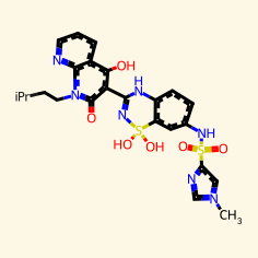 CC(C)CCn1c(=O)c(C2=NS(O)(O)c3cc(NS(=O)(=O)c4cn(C)cn4)ccc3N2)c(O)c2cccnc21